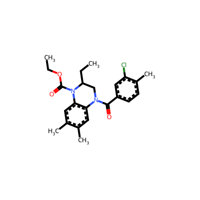 CCOC(=O)N1c2cc(C)c(C)cc2N(C(=O)c2ccc(C)c(Cl)c2)CC1CC